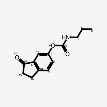 CCCNC(=O)Oc1ccc2c(c1)C(=O)CC2